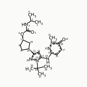 CC(C)NC(=O)O[C@@H]1CC[C@H](c2cc(Nc3ccc(=O)n(C)n3)n(C(C)(C)C)n2)C1